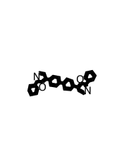 c1ccc2c(c1)oc1c(-c3ccc(-c4ccc(-c5ccnc6c5oc5ccccc56)cc4)cc3)ccnc12